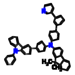 CC1(C)c2ccccc2-c2ccc(N(c3ccc(-c4cccc(-c5cccnc5)c4)cc3)c3ccc(-c4ccc5c(c4)c4ccccc4n5-c4ccccc4)cc3)cc21